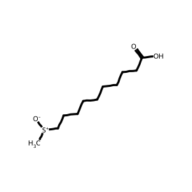 C[S+]([O-])CCCCCCCCCC(=O)O